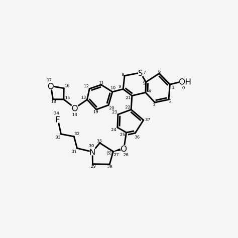 Oc1ccc2c(c1)SCC(c1ccc(OC3COC3)cc1)=C2c1ccc(O[C@H]2CCN(CCCF)C2)cc1